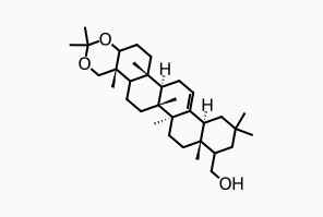 CC1(C)CC(CO)[C@]2(C)CC[C@]3(C)C(=CC[C@@H]4[C@@]5(C)CCC6OC(C)(C)OC[C@@]6(C)C5CC[C@]43C)[C@H]2C1